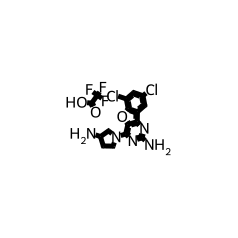 Nc1nc(N2CCC(N)C2)c2oc3c(Cl)cc(Cl)cc3c2n1.O=C(O)C(F)(F)F